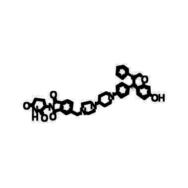 O=C1CCC(N2C(=O)c3ccc(CN4CCN(C5CCN(c6ccc([C@@H]7c8ccc(O)cc8OC[C@@H]7c7ccccc7)cc6)CC5)CC4)cc3C2=O)C(=O)N1